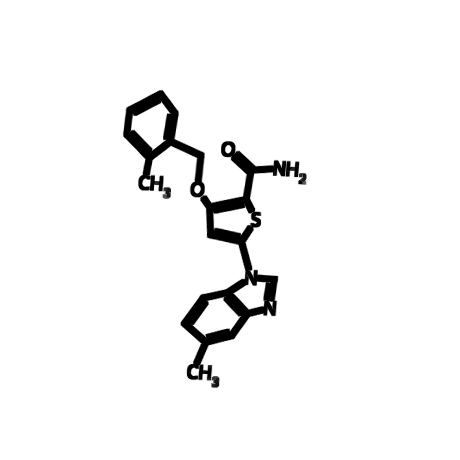 Cc1ccc2c(c1)ncn2-c1cc(OCc2ccccc2C)c(C(N)=O)s1